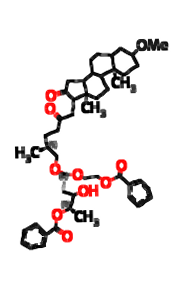 COC1CCC2(C)C(CCC3C2CCC2(C)C(CC(=O)CC[C@H](C)CO[C@@H](CC(O)[C@@H](C)OC(=O)c4ccccc4)OCCOC(=O)c4ccccc4)C(=O)CC32)C1